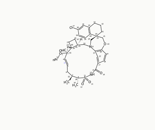 CCCO[C@]1(C=O)/C=C/C[C@H](C)[C@@H](C)S(=O)(=O)NC(=O)c2ccc3c(c2)N(C[C@@H]2CC[C@H]21)C[C@@]1(CCCc2cc(Cl)ccc21)CO3